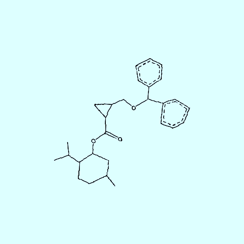 CC1CCC(C(C)C)C(OC(=O)C2CC2COC(c2ccccc2)c2ccccc2)C1